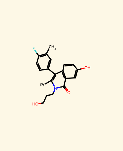 Cc1cc(-c2c(C(C)C)n(CCCO)c(=O)c3cc(O)ccc23)ccc1F